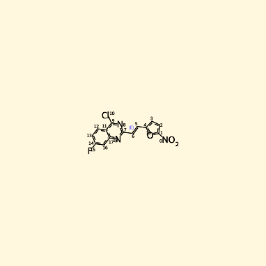 O=[N+]([O-])c1ccc(/C=C/c2nc(Cl)c3ccc(F)cc3n2)o1